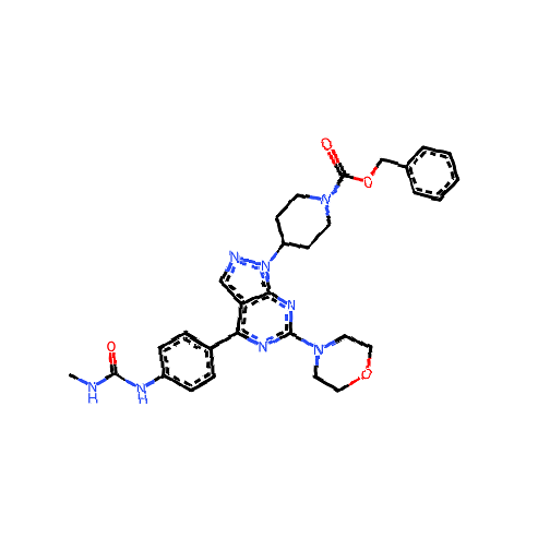 CNC(=O)Nc1ccc(-c2nc(N3CCOCC3)nc3c2cnn3C2CCN(C(=O)OCc3ccccc3)CC2)cc1